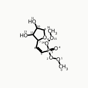 COOP(=O)(/C=C\C1OCC(O)C1O)OOC